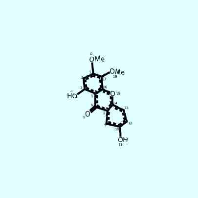 COc1cc(O)c2c(=O)c3cc(O)ccc3oc2c1OC